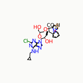 C#C[C@@H](O)[C@@H](O[C@@H](CO)CO[C@@](Cc1ccccc1)(C(=O)O)c1cscn1)n1cnc2c(NCC3CC3)nc(Cl)nc21